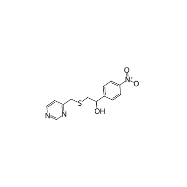 O=[N+]([O-])c1ccc(C(O)CSCc2ccncn2)cc1